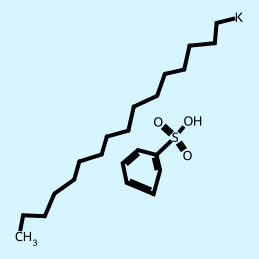 CCCCCCCCCCCCCCC[CH2][K].O=S(=O)(O)c1ccccc1